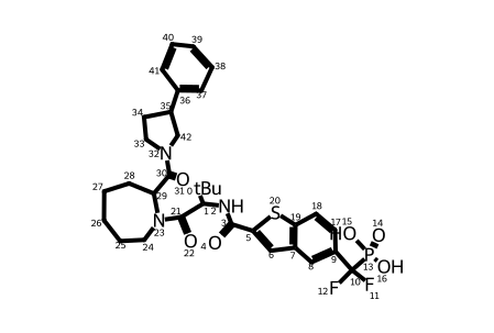 CC(C)(C)C(NC(=O)c1cc2cc(C(F)(F)P(=O)(O)O)ccc2s1)C(=O)N1CCCCCC1C(=O)N1CCC(c2ccccc2)C1